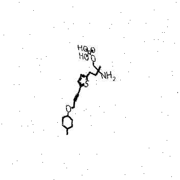 CC1CCC(OCC#Cc2ccc(CCC(C)(N)COP(=O)(O)O)s2)CC1